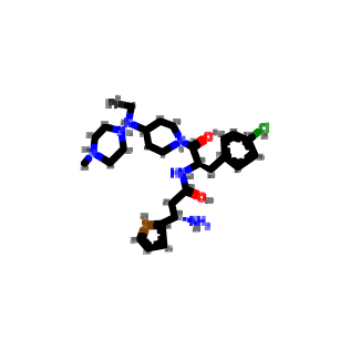 CC(C)CN(C1CCN(C(=O)[C@@H](Cc2ccc(Cl)cc2)NC(=O)C[C@H](N)c2cccs2)CC1)N1CCN(C)CC1